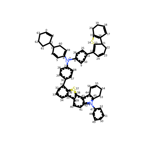 C1=CC(C2C=CC(N(c3ccc(C4=C5SC6=C(C=CCC6)C5CC=C4)cc3)c3ccc(-c4cccc5c4sc4c5ccc5c4c4c(n5-c5ccccc5)CCC=C4)cc3)=CC2)CCC1